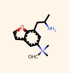 CC(N)Cc1cc([N+](C)(C)C=O)cc2ccoc12